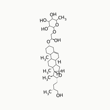 CC1OC(OC[C@@H](O)O[C@H]2CC[C@@]3(C)C(=CC[C@@H]4C3CC[C@@]3(C)C4C[C@@H]4O[C@H](CC[C@@H](C)CO)[C@@H](C)[C@@H]43)C2)C(O)C(O)C1O